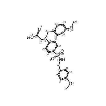 COc1ccc(CNS(=O)(=O)c2ccc(N(CC(=O)O)Cc3ccc(OC)cc3)cc2)cc1